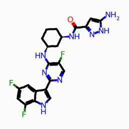 Nc1cc(C(=O)N[C@@H]2CCC[C@H](Nc3nc(-c4c[nH]c5c(F)cc(F)cc45)ncc3F)C2)n[nH]1